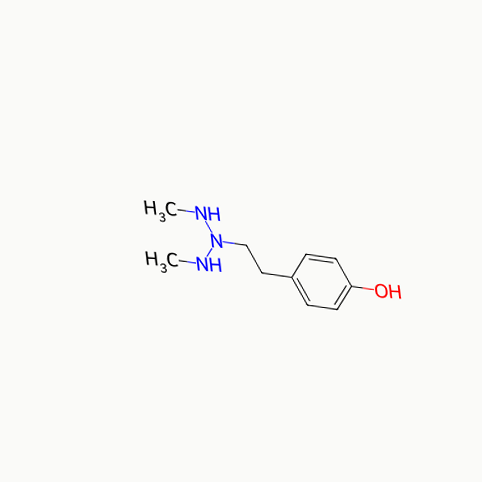 CNN(CCc1ccc(O)cc1)NC